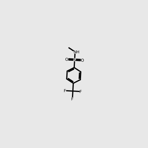 CNS(=O)(=O)c1ccc(C(F)(F)F)cc1